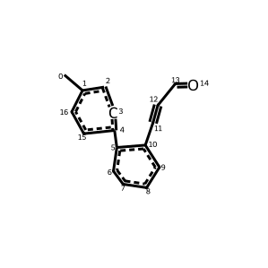 Cc1ccc(-c2ccccc2C#CC=O)cc1